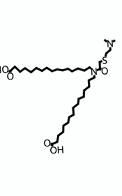 CN(C)CCSCC(=O)N(CCCCCCCCCCCCCCCC(=O)O)CCCCCCCCCCCCCCCC(=O)O